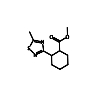 COC(=O)C1CCCCC1c1nsc(C)n1